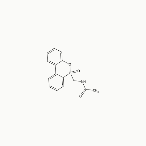 CC(=O)NCP1(=O)Oc2ccccc2-c2ccccc21